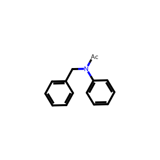 [CH2]C(=O)N(Cc1ccccc1)c1ccccc1